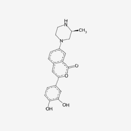 C[C@H]1CN(c2ccc3cc(-c4ccc(O)c(O)c4)oc(=O)c3c2)CCN1